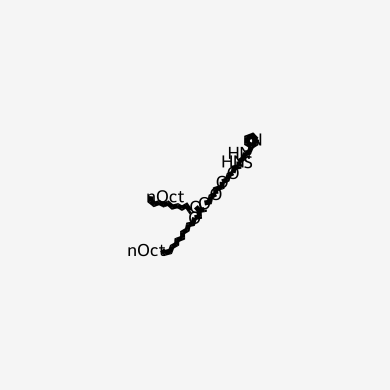 CCCCCCCC/C=C\CCCCCCCCOCC(COCCOCCOCCOCCNC(=S)NCc1cccnc1)OCCCCCCCC/C=C\CCCCCCCC